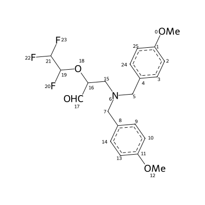 COc1ccc(CN(Cc2ccc(OC)cc2)CC(C=O)OC(F)C(F)F)cc1